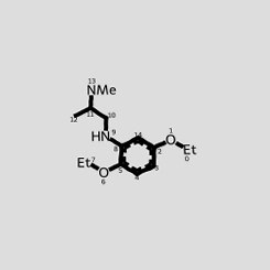 CCOc1ccc(OCC)c(NCC(C)NC)c1